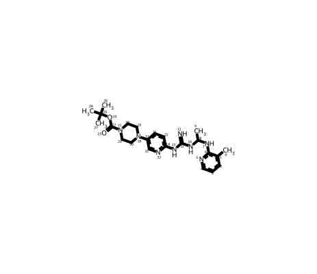 Cc1cccnc1NC(C)NC(=N)Nc1ccc(N2CCN(C(=O)OC(C)(C)C)CC2)cn1